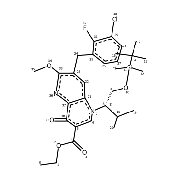 CCOC(=O)c1cn([C@H](CO[Si](C)(C)C(C)(C)C)C(C)C)c2cc(Cc3cccc(Cl)c3F)c(OC)nc2c1=O